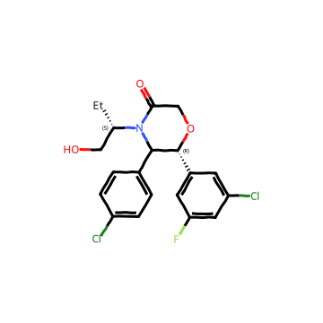 CC[C@@H](CO)N1C(=O)CO[C@H](c2cc(F)cc(Cl)c2)C1c1ccc(Cl)cc1